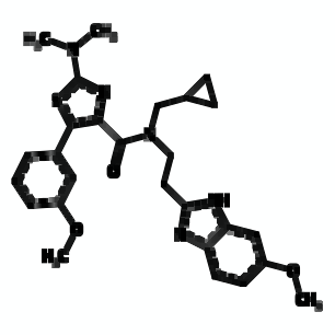 COc1cccc(-c2sc(N(C)C)nc2C(=O)N(CCc2nc3ccc(OC)cc3[nH]2)CC2CC2)c1